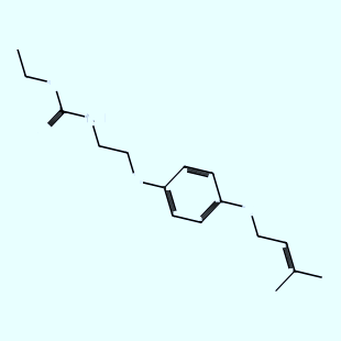 CCOC(=O)NCCOc1ccc(OCC=C(C)C)cc1